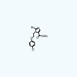 COC(=O)c1cnc(Br)n1CCOc1ccc(Cl)cc1